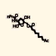 CCCC(=O)N[C@@H]1C[C@H](O)[C@@H](COC(=O)CCCCCCCC(C)=O)OC1O